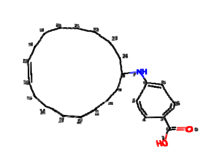 O=C(O)c1ccc(NC2CCCCCCCC=CCCCCCCC2)cc1